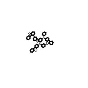 c1ccc(N(c2ccc3c(c2)oc2ccccc23)c2cc(N(c3ccccc3)c3ccc4c(c3)oc3ccccc34)c3sc4ccc(-c5cccc6sc7ccccc7c56)cc4c3c2)cc1